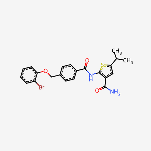 CC(C)c1cc(C(N)=O)c(NC(=O)c2ccc(COc3ccccc3Br)cc2)s1